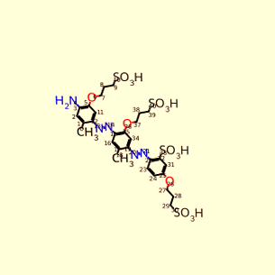 Cc1cc(N)c(OCCCS(=O)(=O)O)cc1N=Nc1cc(C)c(N=Nc2ccc(OCCCS(=O)(=O)O)cc2S(=O)(=O)O)cc1OCCCS(=O)(=O)O